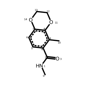 CNC(=O)c1ccc2c(c1C)OCCO2